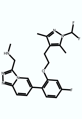 CNCc1nnc2ccc(-c3ccc(F)cc3OCCc3c(C)nn(C(F)F)c3C)cn12